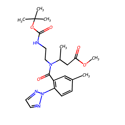 COC(=O)CC(C)N(CCNC(=O)OC(C)(C)C)C(=O)c1cc(C)ccc1-n1nccn1